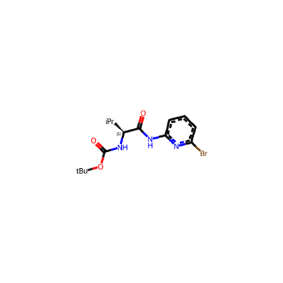 CC(C)[C@H](NC(=O)OC(C)(C)C)C(=O)Nc1cccc(Br)n1